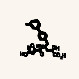 Cc1cccc(-c2ccc(CN(C[C@H](O)C(=O)O)NC(=O)c3cc(O)no3)cc2)c1